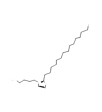 CCCCCCCCCCCCCC[n+]1cc[nH]c1CCCCCCCCCCCCCCC(C)C